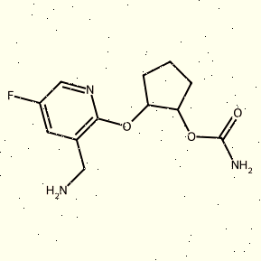 NCc1cc(F)cnc1OC1CCCC1OC(N)=O